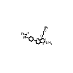 CCC(=O)Nc1ccc(-c2ccc3nc(N)nc(OCCOC(C)C)c3n2)cc1